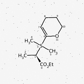 CCOC(=O)[C@@H](C)S(C)(C)C1=CCCCO1